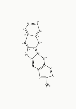 Cc1ccc2c(c1)N=c1[nH]c3c(c1S2)Sc1ccccc1N=3